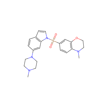 CN1CCN(c2ccc3ccn(S(=O)(=O)c4ccc5c(c4)OCCN5C)c3c2)CC1